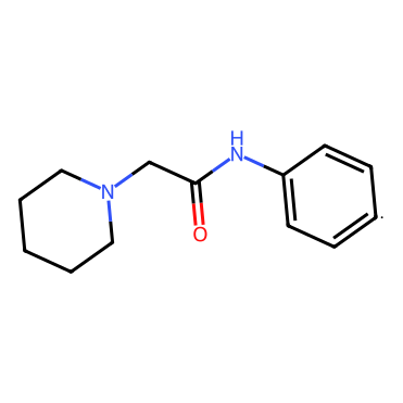 O=C(CN1CCCCC1)Nc1cc[c]cc1